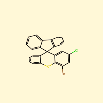 Clc1cc(Br)c2c(c1)C1(C3=C(CCC=C3)c3ccccc31)c1ccccc1S2